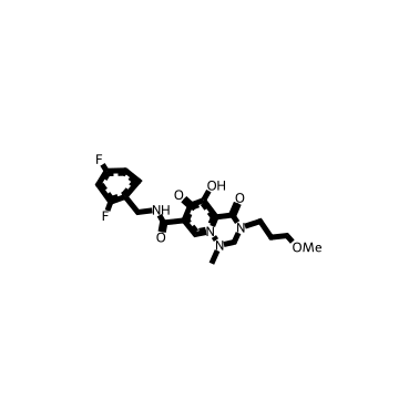 COCCCN1CN(C)n2cc(C(=O)NCc3ccc(F)cc3F)c(=O)c(O)c2C1=O